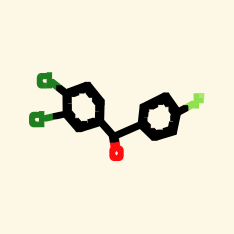 O=C(c1ccc(F)cc1)c1ccc(Cl)c(Cl)c1